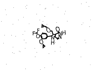 O=c1[nH]ncc2[nH]c(-c3ccc(OC(F)F)c(OC4CC4)c3)c(COCC3CC3)c12